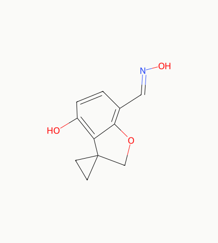 ON=Cc1ccc(O)c2c1OCC21CC1